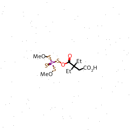 CCC(CC)(CC(=O)O)C(=O)OSP(=S)(SOC)SOC